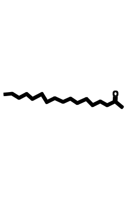 CCCCCCCCCCCCCCCC(C)=O